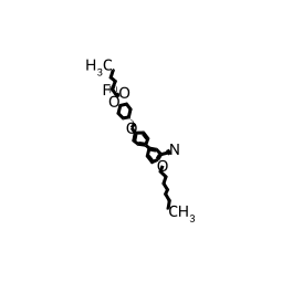 CCCCCCCCOc1ccc(-c2ccc(OC[C@H]3CC[C@H](OC(=O)[C@H](F)CCCC)CC3)cc2)cc1C#N